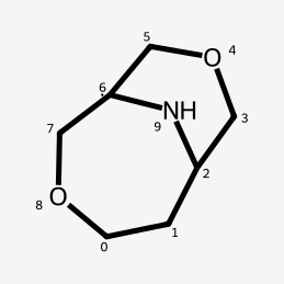 C1CC2COC[C](CO1)N2